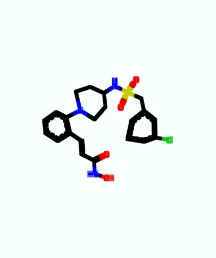 O=C(C=Cc1ccccc1N1CCC(NS(=O)(=O)Cc2cccc(Cl)c2)CC1)NO